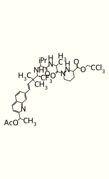 CC(=O)O[C@H](C)c1ccc2ccc(/C=C/C(C)(C)[C@@H](NC(C(=O)NC(C)C(=O)N3CCCC(C(=O)OCC(Cl)(Cl)Cl)N3)C(C)C)C(F)(F)F)cc2n1